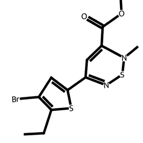 CCc1sc(C2=NSN(C)C(C(=O)OC)=C2)cc1Br